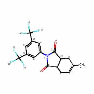 CC1=CCC2C(=O)N(c3cc(C(F)(F)F)cc(C(F)(F)F)c3)C(=O)C2C1